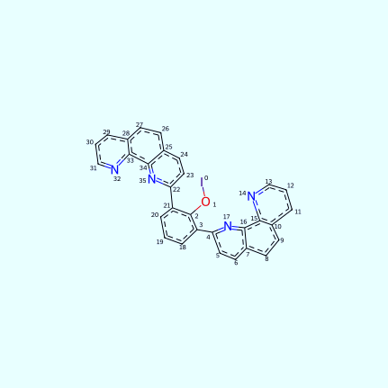 IOc1c(-c2ccc3ccc4cccnc4c3n2)cccc1-c1ccc2ccc3cccnc3c2n1